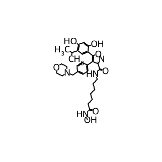 CC(C)c1cc(-c2onc(C(=O)NCCCCCCC(=O)NO)c2-c2ccc(CN3CCOCC3)cc2)c(O)cc1O